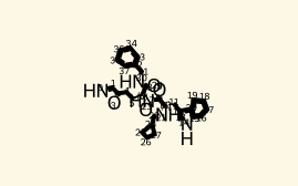 N=CC(=O)CC[C@H](NC(=O)[C@H](Cc1c[nH]c2ccccc12)NC(=O)C1CCC1)C(=O)NCc1ccccc1